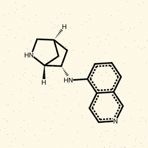 c1cc(N[C@H]2C[C@@H]3CN[C@@H]2C3)c2ccncc2c1